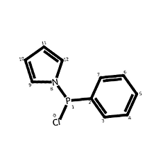 ClP(c1ccccc1)n1cccc1